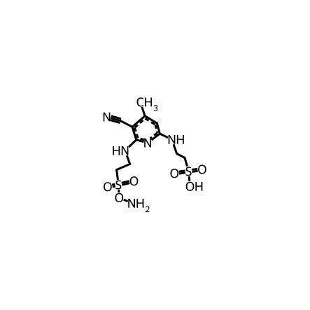 Cc1cc(NCCS(=O)(=O)O)nc(NCCS(=O)(=O)ON)c1C#N